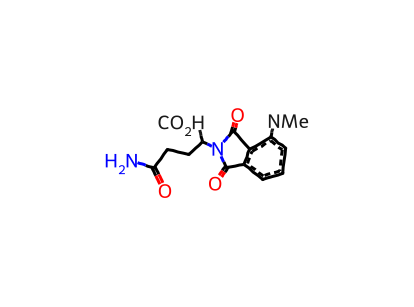 CNc1cccc2c1C(=O)N(C(CCC(N)=O)C(=O)O)C2=O